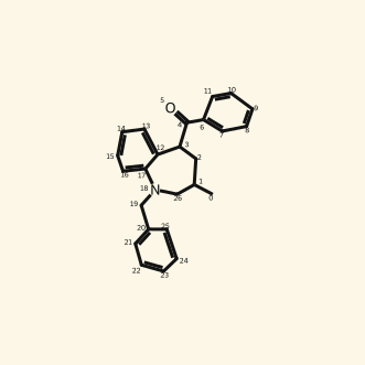 CC1CC(C(=O)c2ccccc2)c2ccccc2N(Cc2ccccc2)C1